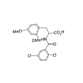 COc1ccc(CC(NC(=O)c2cc(Cl)ccc2Cl)C(=O)O)c(OC)c1